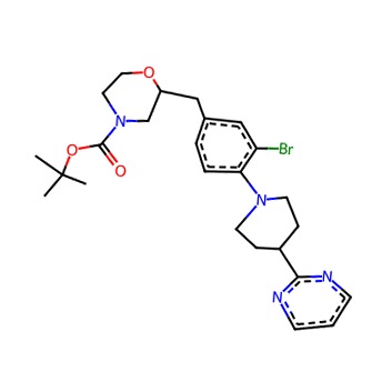 CC(C)(C)OC(=O)N1CCOC(Cc2ccc(N3CCC(c4ncccn4)CC3)c(Br)c2)C1